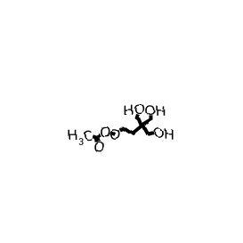 CC(=O)OOCCC(CO)(CO)CO